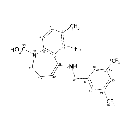 Cc1ccc2c(c1F)C(NCc1cc(C(F)(F)F)cc(C(F)(F)F)c1)=CCCN2C(=O)O